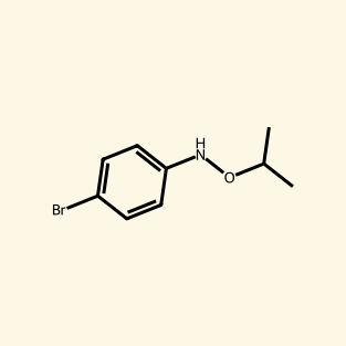 CC(C)ONc1ccc(Br)cc1